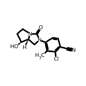 Cc1c(N2C[C@@H]3[C@@H](O)CCN3C2=O)ccc(C#N)c1Cl